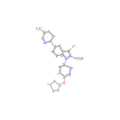 CCOC(=O)c1c(Cl)c2cc(-c3ccc(C(F)(F)F)cn3)ccc2n1-c1ccc(OC2CCCC2)nc1